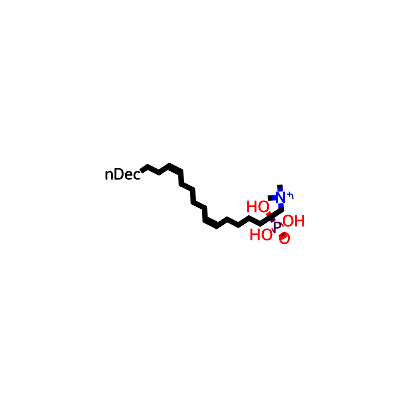 CCCCCCCCCCCC/C=C\CCCC/C=C\CCCCC(O)(C[N+](C)(C)C)P(=O)(O)O